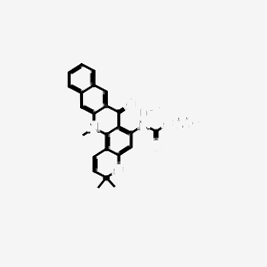 CCCN(C(=O)OC)c1cc2c(c3c1c(=O)c1cc4ccccc4cc1n3C)C=CC(C)(C)O2